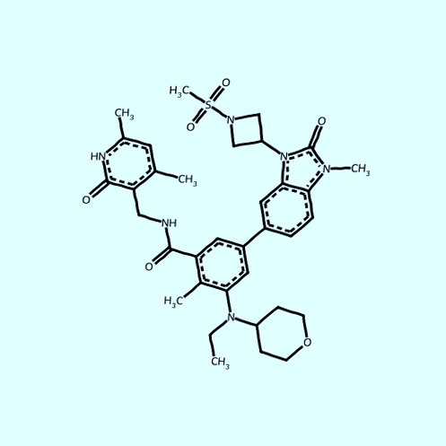 CCN(c1cc(-c2ccc3c(c2)n(C2CN(S(C)(=O)=O)C2)c(=O)n3C)cc(C(=O)NCc2c(C)cc(C)[nH]c2=O)c1C)C1CCOCC1